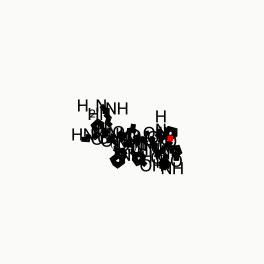 CCNC(=O)[C@@H]1CCCN1C(=O)[C@H](CCCNC(=N)N)NC(=O)[C@H](Cc1c[nH]c2ccccc12)NC(=O)[C@@H](CC(C)C)NC(=O)[C@H](Cc1ccc(O)cc1)NC(=O)[C@H](CO)NC(=O)[C@H](Cc1c[nH]c2ccccc12)NC(=O)[C@H](Cc1c[nH]cn1)NC(=O)[C@@H]1CCC(=O)N1